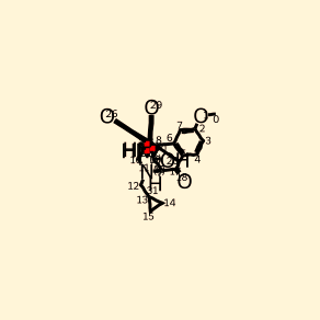 COc1ccc2c(c1)[C@]13CCN(CC4CC4)[C@H](C2=O)[C@]1(O)CCCNC(=O)NC(=O)C3